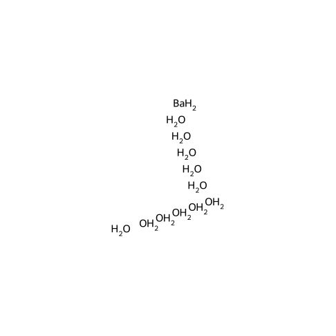 O.O.O.O.O.O.O.O.O.O.O.[BaH2]